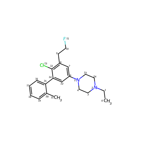 CCN1CCN(c2cc(CCF)c(Cl)c(-c3ccccc3C)c2)CC1